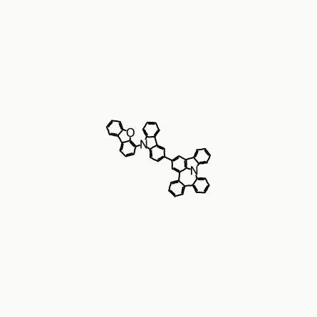 c1ccc2c(c1)-c1ccccc1-n1c3ccccc3c3cc(-c4ccc5c(c4)c4ccccc4n5-c4cccc5c4oc4ccccc45)cc-2c31